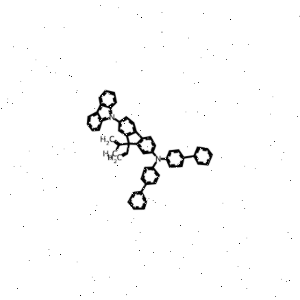 C=CC1(C(=C)C)c2cc(N(c3ccc(-c4ccccc4)cc3)c3ccc(-c4ccccc4)cc3)ccc2-c2ccc(-n3c4ccccc4c4ccccc43)cc21